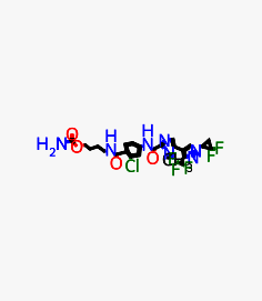 Cn1c(-c2cn(C3CC3(F)F)nc2C(F)(F)F)cnc1C(=O)Nc1ccc(C(=O)NCCCCOC(N)=O)c(Cl)c1